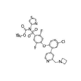 CC(C)(C)OC(=O)N(c1cscn1)S(=O)(=O)c1cc(F)c(Oc2ccc(Cl)cc2-c2ccnc(CN3CCC3)c2)cc1F